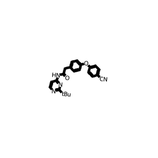 CC(C)(C)c1nccc(NC(=O)Cc2ccc(Oc3ccc(C#N)cc3)cc2)n1